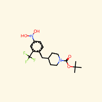 CC(C)(C)OC(=O)N1CCC(Cc2ccc(N(O)O)cc2C(F)(F)F)CC1